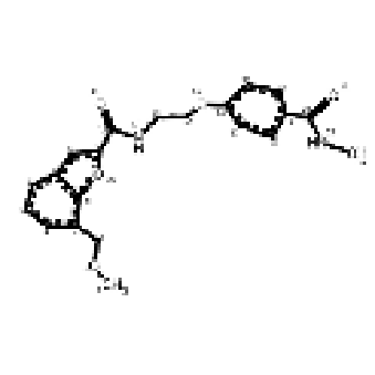 COCc1cccc2cc(C(=O)NCCOc3ccc(C(=O)NO)cc3)oc12